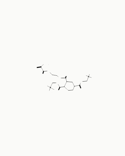 C=C(C)C(=O)OCCOC(=O)C1CC(C(=O)OCC(F)(F)C(F)(F)F)CCC1C(=O)OCC(F)(F)C(F)(F)F